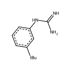 CC(C)(C)c1cccc(NC(=N)N)c1